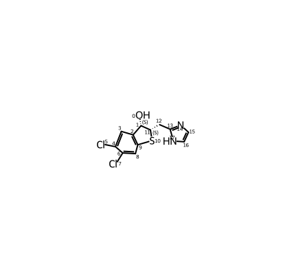 O[C@H]1c2cc(Cl)c(Cl)cc2S[C@H]1Cc1ncc[nH]1